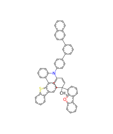 CC1(c2cccc3c2oc2ccccc23)C=CC(N(c2ccc(-c3cccc(-c4ccc5ccccc5c4)c3)cc2)c2ccccc2-c2cccc3c2sc2ccccc23)=CC1